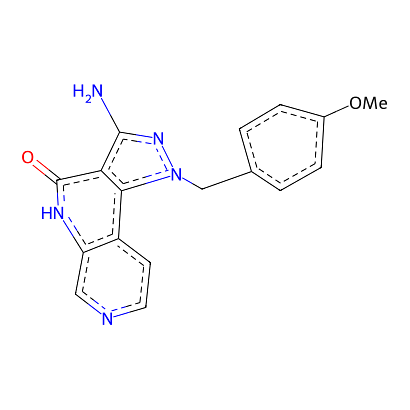 COc1ccc(Cn2nc(N)c3c(=O)[nH]c4cnccc4c32)cc1